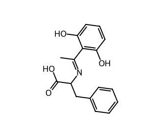 CC(=NC(Cc1ccccc1)C(=O)O)c1c(O)cccc1O